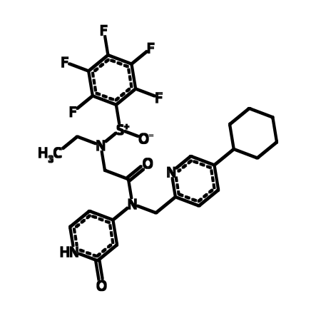 CCN(CC(=O)N(Cc1ccc(C2CCCCC2)cn1)c1cc[nH]c(=O)c1)[S+]([O-])c1c(F)c(F)c(F)c(F)c1F